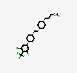 CCCC[C@H]1CC[C@H](C=C[C@H]2CC[C@H](c3cc(F)c(C(F)(F)F)c(F)c3)CC2)CC1